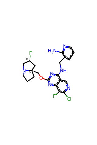 Nc1ncccc1CNc1nc(OC[C@@]23CCCN2C[C@H](F)C3)nc2c(F)c(Cl)ncc12